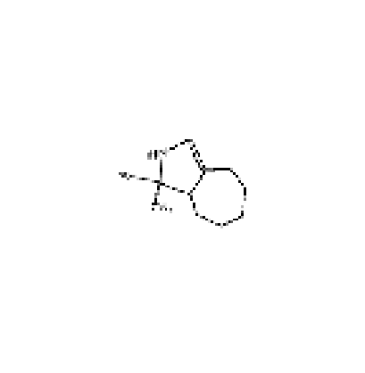 CC1(C#N)NC=C2CCCCCC21